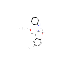 CC(=O)NCCC1c2cc(C#N)ccc2OC(C)(C)C1(O)Nc1ccccc1